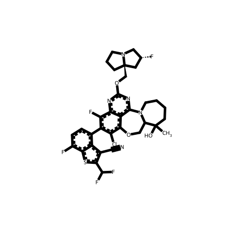 CC1(O)CCCCN2c3nc(OC[C@@]45CCCN4C[C@H](F)C5)nc4c(F)c(-c5ccc(F)c6sc(C(F)F)c(C#N)c56)c(Cl)c(c34)OCC21